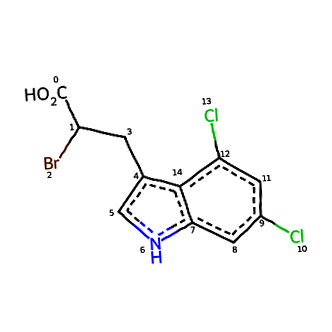 O=C(O)C(Br)Cc1c[nH]c2cc(Cl)cc(Cl)c12